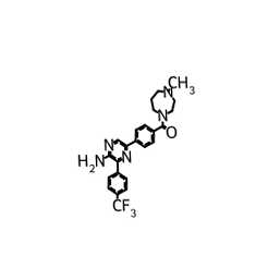 CN1CCCN(C(=O)c2ccc(-c3cnc(N)c(-c4ccc(C(F)(F)F)cc4)n3)cc2)CC1